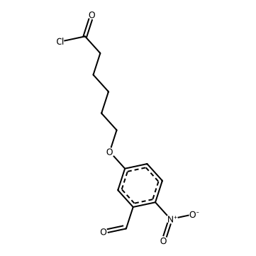 O=Cc1cc(OCCCCCC(=O)Cl)ccc1[N+](=O)[O-]